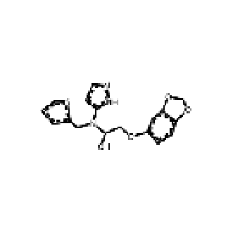 OC(COc1ccc2c(c1)OCO2)N(Cc1cccs1)c1ccn[nH]1